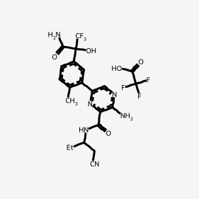 CCC(CC#N)NC(=O)c1nc(-c2cc(C(O)(C(N)=O)C(F)(F)F)ccc2C)cnc1N.O=C(O)C(F)(F)F